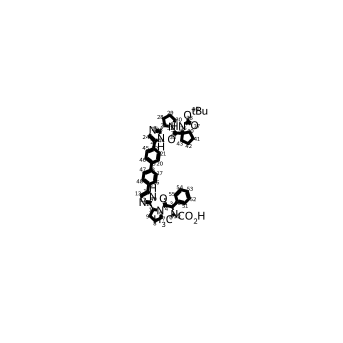 CN(C(=O)O)[C@@H](C(=O)N1CCC[C@H]1c1ncc(-c2ccc(-c3ccc(-c4cnc([C@@H]5CCCN5C(=O)C5(NC(=O)OC(C)(C)C)CCCC5)[nH]4)cc3)cc2)[nH]1)c1ccccc1